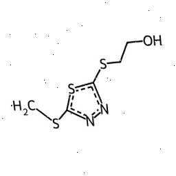 [CH2]Sc1nnc(SCCO)s1